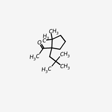 CC(=O)C1(CC(C)(C)C)CCCC1(C)C